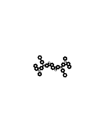 c1ccc(-n2c3ccc(N(c4ccc(C5CCCCC5)cc4)c4ccc5c(c4)oc4ccc6c(ccc7oc8cc(N(c9ccc(C%10CCCCC%10)cc9)c9ccc%10c(c9)c9c%11ccccc%11ccc9n%10-c9ccccc9)ccc8c76)c45)cc3c3c4ccccc4ccc32)cc1